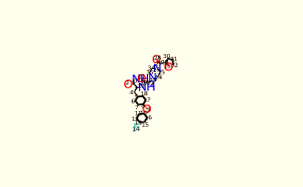 NC(=O)C(Cc1ccc(Oc2ccc(F)cc2)cc1)NC(=O)CN1CCN(C(=O)c2ccco2)CC1